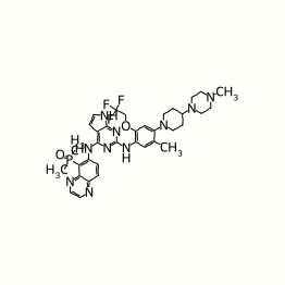 Cc1cc(Nc2nc(Nc3ccc4nccnc4c3P(C)(C)=O)c3cc[nH]c3n2)c(OCC(F)(F)F)cc1N1CCC(N2CCN(C)CC2)CC1